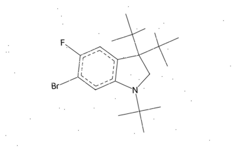 CC(C)(C)N1CC(C(C)(C)C)(C(C)(C)C)c2cc(F)c(Br)cc21